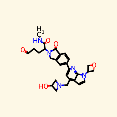 CNC(=O)C(CCC=O)N1Cc2cc(-c3cc(CN4CC(O)C4)c4ccn(C5COC5)c4n3)ccc2C1=O